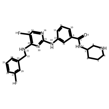 O=C(NC1CCCNC1)c1cccc(Nc2ncc(F)c(NCc3cccc(F)c3)n2)c1